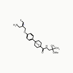 COC(C)(C)CNC(=O)C12CCC(c3ccc(OC/C(=C/F)CN)cc3)(CC1)CC2